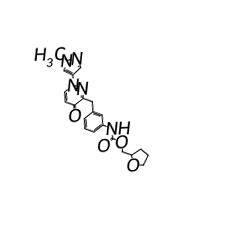 Cn1cc(-n2ccc(=O)c(Cc3cccc(NC(=O)OCC4CCCO4)c3)n2)cn1